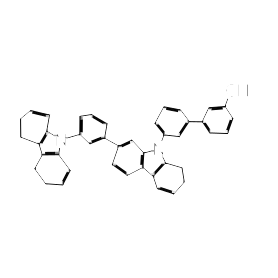 Cc1cccc(-c2cccc(-n3c4c(c5ccc(-c6cccc(-n7c8c(c9c7C=CCC9)CCC=C8)c6)cc53)C=CCC4)c2)c1